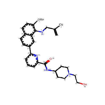 C=C(C#N)CNc1c(OC)ccc2ccc(-c3cccc(C(=O)NC4CCN(CCO)CC4)n3)cc12